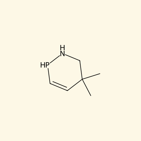 CC1(C)C=CPNC1